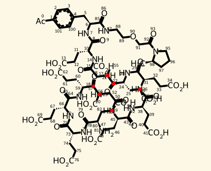 CC(=O)c1ccc(C[C@H](NC(=O)[C@@H](CCC(=O)O)NC(=O)[C@@H](CCC(=O)O)NC(=O)[C@@H](CCC(=O)O)NC(=O)[C@@H](CCC(=O)O)NC(=O)[C@@H](CCC(=O)O)NC(=O)[C@@H](CCC(=O)O)NC(=O)[C@@H](CCC(=O)O)NC(=O)[C@@H](CCC(=O)O)NC(=O)[C@@H](CCC(=O)O)NC(=O)[C@@H](CCC(=O)O)NC(=O)[C@H](N)CCC(=O)O)C(=O)NCCOCC(=O)N2CCC[C@H]2C)cc1